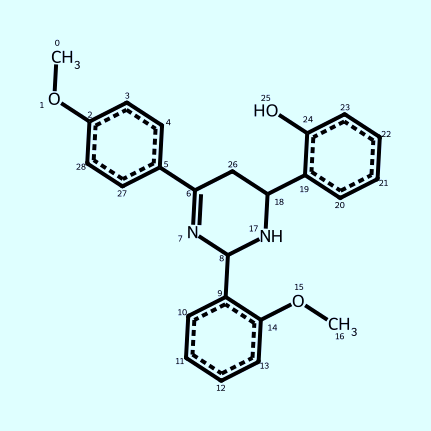 COc1ccc(C2=NC(c3ccccc3OC)NC(c3ccccc3O)C2)cc1